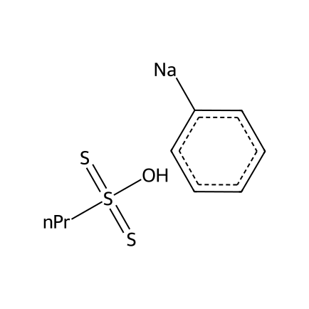 CCCS(O)(=S)=S.[Na][c]1ccccc1